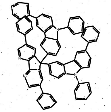 c1ccc(-c2cnc3c(c2)C(c2ccc4c(c2)c2cc(-c5ccccc5)ccc2n4-c2ccccc2)(c2ccc4c(c2)c2cc(-c5ccccc5)ccc2n4-c2ccccc2)c2cc(-c4ccccc4)cnc2-3)cc1